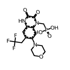 O=c1[nH]c2cc(CC(F)(F)F)c(N3CCOCC3)cc2n(CP(=O)(O)O)c1=O